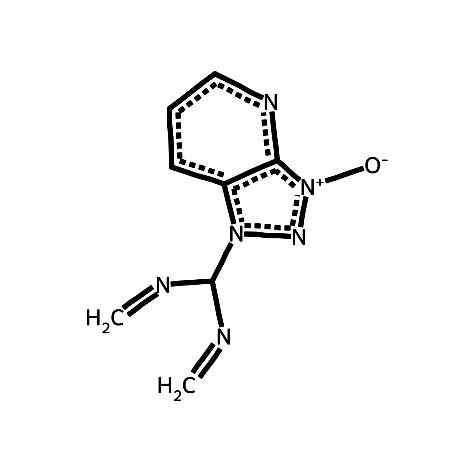 C=NC(N=C)n1n[n+]([O-])c2ncccc21